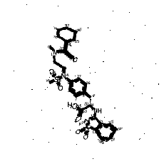 CN(CCN(c1ccc(C[C@H](NC2=NS(=O)(=O)c3ccccc32)C(=O)O)cc1)S(C)(=O)=O)C(=O)C1CCCCC1